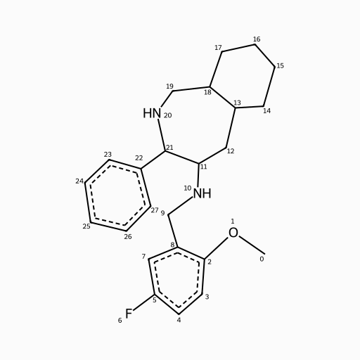 COc1ccc(F)cc1CNC1CC2CCCCC2CNC1c1ccccc1